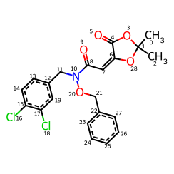 CC1(C)OC(=O)C(=CC(=O)N(Cc2ccc(Cl)c(Cl)c2)OCc2ccccc2)O1